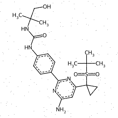 CC(C)(CO)NC(=O)Nc1ccc(-c2nc(N)cc(C3(S(=O)(=O)C(C)(C)C)CC3)n2)cc1